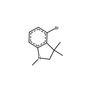 CN1CC(C)(C)c2c(Br)cccc21